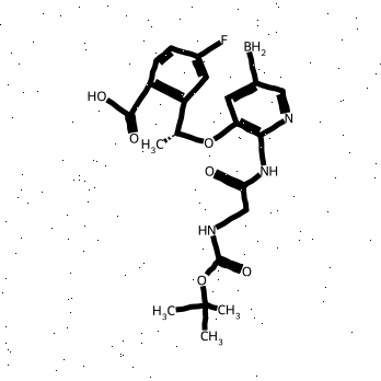 Bc1cnc(NC(=O)CNC(=O)OC(C)(C)C)c(O[C@H](C)c2cc(F)ccc2C(=O)O)c1